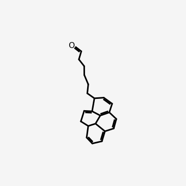 O=CCCCCCC1C=CC2=C3C1=CCC1C=CC=C(C=C2)C31